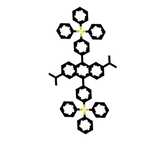 CC(C)c1ccc2c(-c3ccc(S(c4ccccc4)(c4ccccc4)c4ccccc4)cc3)c3cc(C(C)C)ccc3c(-c3ccc(S(c4ccccc4)(c4ccccc4)c4ccccc4)cc3)c2c1